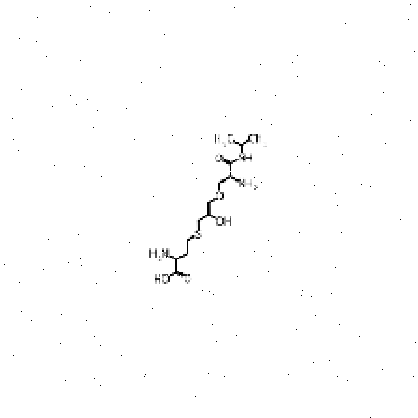 CC(C)NC(=O)C(N)COCC(O)CSCCC(N)C(=O)O